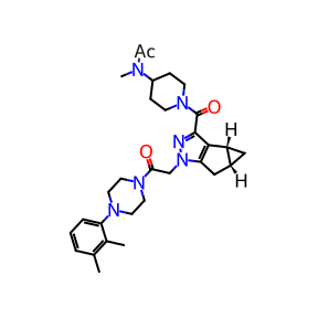 CC(=O)N(C)C1CCN(C(=O)c2nn(CC(=O)N3CCN(c4cccc(C)c4C)CC3)c3c2[C@@H]2C[C@@H]2C3)CC1